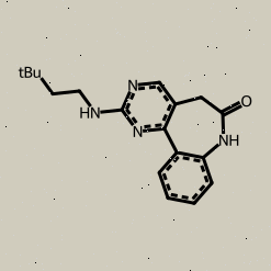 CC(C)(C)CCNc1ncc2c(n1)-c1ccccc1NC(=O)C2